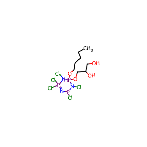 CCCCCO[PH]1(OCC(O)CO)N(Cl)P(Cl)N=P(Cl)(Cl)N1Cl